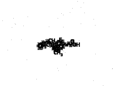 CN(C[C@H](O)CNC(C)(C)CC1Cc2ccccc2C1)S(=O)(=O)c1ccc(C=CCCC(=O)O)c(C(F)(F)F)c1